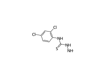 [NH]NC(=S)Nc1ccc(Cl)cc1Cl